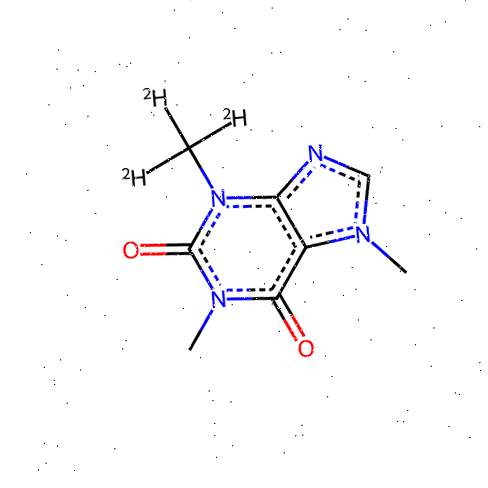 [2H]C([2H])([2H])n1c(=O)n(C)c(=O)c2c1ncn2C